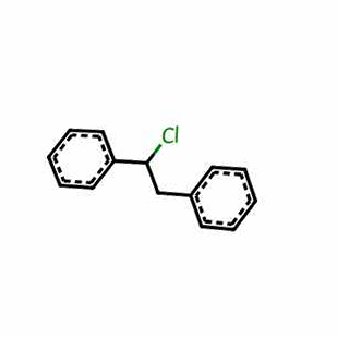 ClC(Cc1ccccc1)c1ccccc1